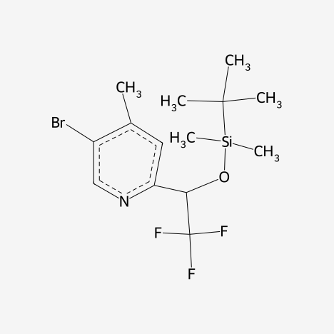 Cc1cc(C(O[Si](C)(C)C(C)(C)C)C(F)(F)F)ncc1Br